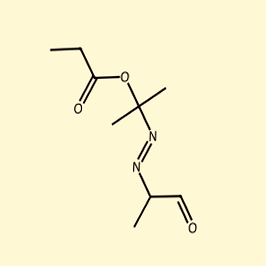 CCC(=O)OC(C)(C)N=NC(C)C=O